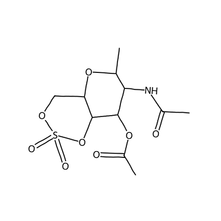 CC(=O)NC1C(C)OC2COS(=O)(=O)OC2C1OC(C)=O